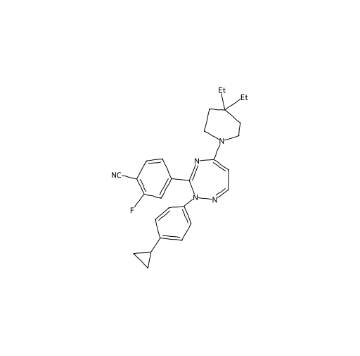 CCC1(CC)CCN(C2=CC=NN(c3ccc(C4CC4)cc3)C(c3ccc(C#N)c(F)c3)=N2)CC1